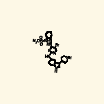 CS(=O)(=O)Nc1ccccc1CNc1nc(Nc2ccc3[nH]cc(C4=CCNCC4)c3c2)ncc1Br